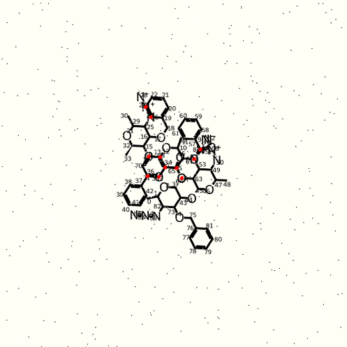 CC1O[C@H](OC2C(N=[N+]=[N-])C(C)O[C@H](OC3C(OCc4ccccc4)C(N=[N+]=[N-])C(C)O[C@@H]3C)C2OCc2ccccc2)C(O[C@H]2OC(C)C(N=[N+]=[N-])C(OC(=O)c3ccccc3)C2OC(=O)c2ccccc2)C(OCc2ccccc2)C1N=[N+]=[N-]